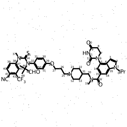 CC(C)n1ccc2c(N3CCC(=O)NC3=O)cc(C(=O)N(C)CC3CCN(CCCOc4ccc(N(C(=S)N(C)c5ccc(C#N)c(C(F)(F)F)c5)C(C)(C)C=O)cc4)CC3)cc21